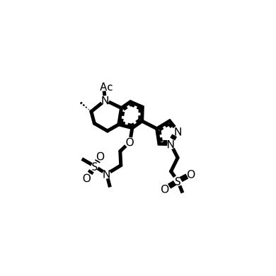 CC(=O)N1c2ccc(-c3cnn(CCS(C)(=O)=O)c3)c(OCCN(C)S(C)(=O)=O)c2CC[C@@H]1C